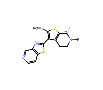 CCN1CCc2c(sc(NC(C)=O)c2-c2nc3cnccc3s2)[C@@H]1C